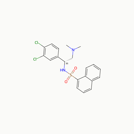 CN(C)C[C@H](NS(=O)(=O)c1cccc2ccccc12)c1ccc(Cl)c(Cl)c1